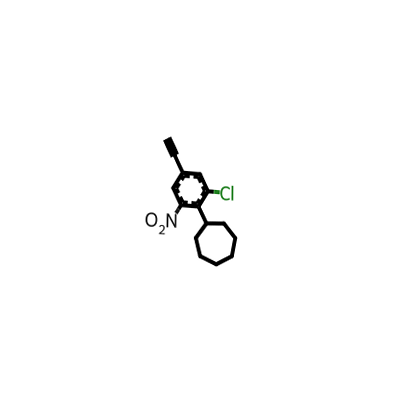 C#Cc1cc(Cl)c(C2CCCCCC2)c([N+](=O)[O-])c1